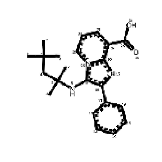 CC(C)(C)CC(C)(C)Nc1c(-c2ccccc2)nc2c(C(=O)O)cccn12